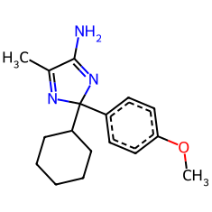 COc1ccc(C2(C3CCCCC3)N=C(C)C(N)=N2)cc1